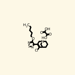 CCCCCOc1nsnc1C1=C(Cl)C2CCCN(C1)C2.O=C(O)C(=O)O